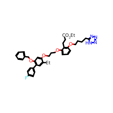 CCOC(=O)CCc1c(OCCCCc2nnn[nH]2)cccc1OCCCOc1cc(OCc2ccccc2)c(-c2ccc(F)cc2)cc1CC